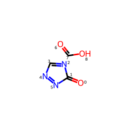 O=C1N=CN=N1.O=CO